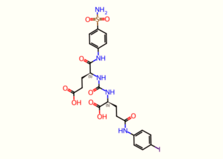 NS(=O)(=O)c1ccc(NC(=O)[C@H](CCC(=O)O)NC(=O)N[C@@H](CCC(=O)Nc2ccc(I)cc2)C(=O)O)cc1